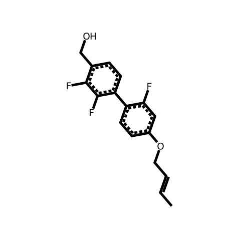 CC=CCOc1ccc(-c2ccc(CO)c(F)c2F)c(F)c1